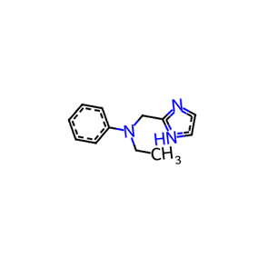 CCN(Cc1ncc[nH]1)c1ccccc1